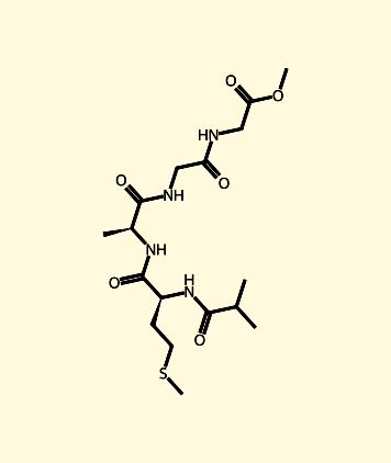 COC(=O)CNC(=O)CNC(=O)[C@H](C)NC(=O)[C@H](CCSC)NC(=O)C(C)C